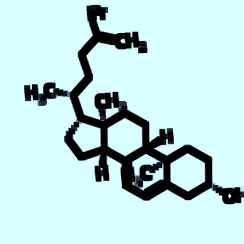 C=C(CC[C@@H](C)[C@H]1CC[C@H]2C3=CC=C4C[C@@H](O)CC[C@]4(C)[C@H]3CC[C@]12C)C(C)C